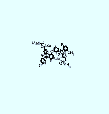 CNC(=O)OC(c1cc(S(=O)(=O)c2ccc(Cl)nc2)n(-c2cc(F)ccc2C)n1)C(C)(C)C.Cc1ccc(F)cc1-n1nc(CN(C)C(=O)OC(C)(C)C)cc1S(=O)(=O)c1cccnc1